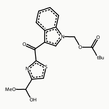 COC(O)c1csc(C(=O)c2cn(COC(=O)C(C)(C)C)c3ccccc23)n1